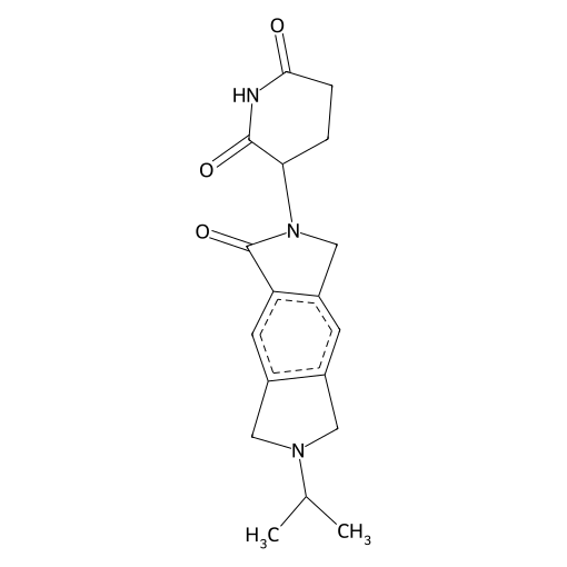 CC(C)N1Cc2cc3c(cc2C1)C(=O)N(C1CCC(=O)NC1=O)C3